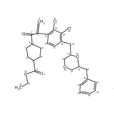 C=C(C(=O)N1CCC(C(=O)OCC)CC1)c1ccc(SC2COCC(Cc3ccccc3)O2)c(Cl)c1Cl